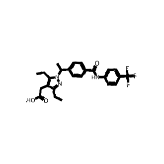 CCc1nn(C(C)c2ccc(C(=O)Nc3ccc(C(F)(F)F)cc3)cc2)c(CC)c1CC(=O)O